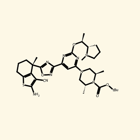 C[C@H](Oc1nc(-c2noc([C@@]3(C)CCCc4sc(N)c(C#N)c43)n2)cc(N2C[C@@H](C)N(C(=O)OC(C)(C)C)[C@H](C)C2)n1)[C@@H]1CCCN1C